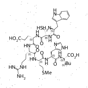 CC[C@H](C)[C@H](NC(=O)[C@H](Cc1c[nH]cn1)NC(=O)[C@H](CCSC)NC(=O)[C@H](CCCNC(=N)N)NC(=O)[C@H](CCC(=O)O)NC(=O)[C@H](CS)NC(=O)[C@@H](N)Cc1c[nH]c2ccccc12)C(=O)O